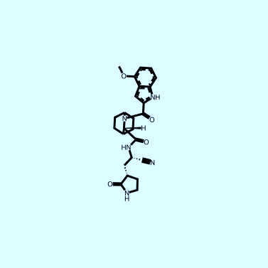 COc1cccc2[nH]c(C(=O)N3C4CCC(CC4)[C@H]3C(=O)N[C@H](C#N)C[C@@H]3CCNC3=O)cc12